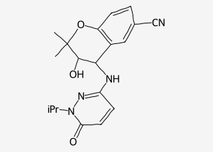 CC(C)n1nc(NC2c3cc(C#N)ccc3OC(C)(C)C2O)ccc1=O